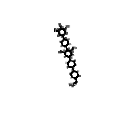 C=CC1CCC(C2CCC(c3cc(F)c(C4=CCC(c5cc(F)c(F)c(F)c5)CC4)c(F)c3)CC2)CC1